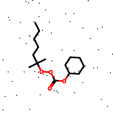 CCCCCC(C)(C)OOC(=O)OC1CCCCC1